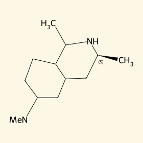 CNC1CCC2C(C1)C[C@H](C)NC2C